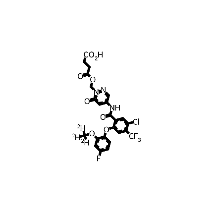 [2H]C([2H])([2H])Oc1cc(F)ccc1Oc1cc(C(F)(F)F)c(Cl)cc1C(=O)Nc1cnn(COC(=O)CCC(=O)O)c(=O)c1